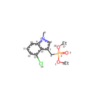 CCOP(=O)(Cc1cn(C)c2cccc(Cl)c12)OCC